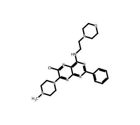 CN1CCN(c2nc3nc(-c4ccccc4)nc(NCCN4CCOCC4)c3nc2Cl)CC1